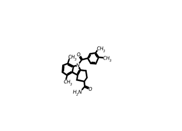 Cc1ccc(C(=O)n2c3c(c4c(C)ccc(C)c42)CC(C(N)=O)CC3)cc1C